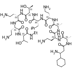 CCNC(=O)[C@@H](NC(=O)[C@H](CCN)NC(=O)[C@H](CCN)NC(=O)[C@@H](NC(=O)[C@@H](CC(C)C)NC(=O)[C@H](CCN)NC(=O)[C@H](C)NC(=O)[C@H](CCN)NC(=O)[C@H](C)NC(=O)CC(N)C1CCCCC1)[C@H](C)O)C(C)O